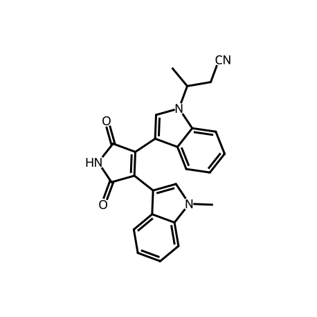 CC(CC#N)n1cc(C2=C(c3cn(C)c4ccccc34)C(=O)NC2=O)c2ccccc21